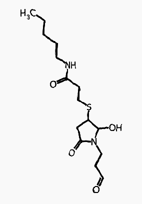 CCCCCNC(=O)CCSC1CC(=O)N(CCC=O)C1O